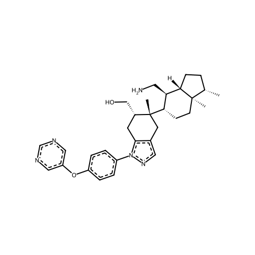 C[C@H]1CC[C@H]2[C@H](CN)[C@@H]([C@]3(C)Cc4cnn(-c5ccc(Oc6cncnc6)cc5)c4C[C@@H]3CO)CC[C@]12C